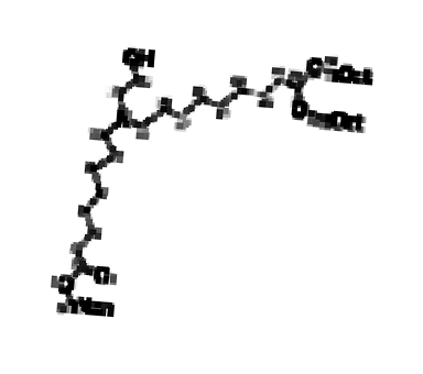 CCCCCCCCCOC(=O)CCCCCCCN(CCO)CCCCCCCCC(OCCCCCCCC)OCCCCCCCC